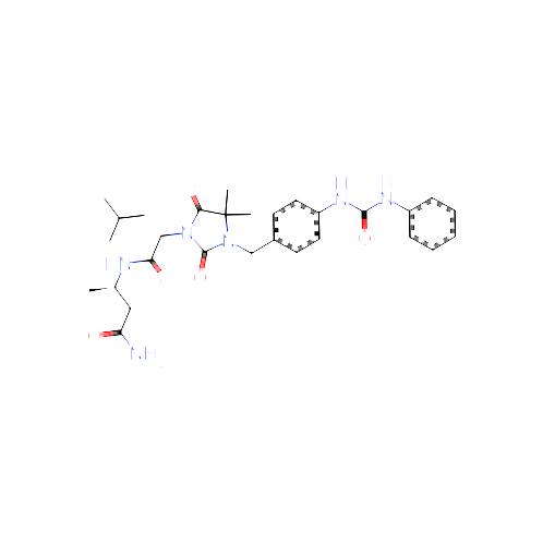 CC(C)C[C@@H](C(=O)N[C@H](C)CC(N)=O)N1C(=O)N(Cc2ccc(NC(=O)Nc3ccccc3)cc2)C(C)(C)C1=O